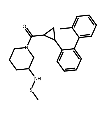 CSNC1CCCN(C(=O)C2CC2c2ccccc2-c2ccccc2C)C1